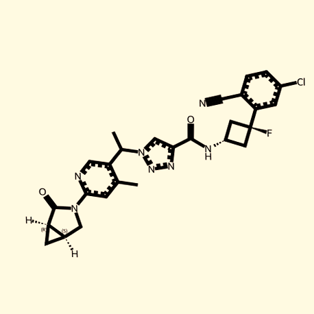 Cc1cc(N2C[C@H]3C[C@H]3C2=O)ncc1C(C)n1cc(C(=O)N[C@H]2C[C@@](F)(c3cc(Cl)ccc3C#N)C2)nn1